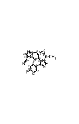 CC(C1CC1)n1cnc(-c2ccc(F)cc2)c1-c1ccc2ncc(C#N)n2c1